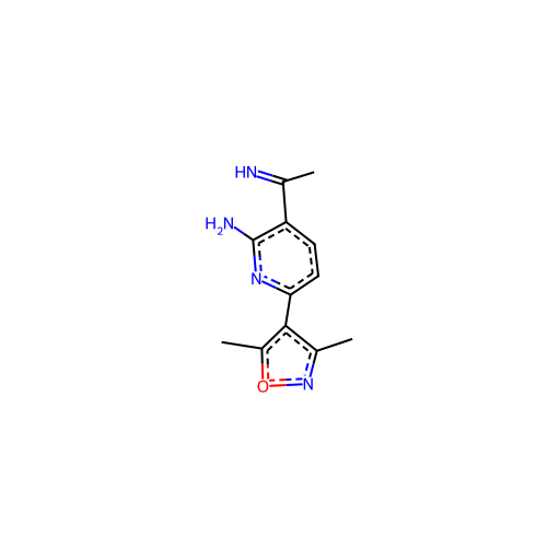 CC(=N)c1ccc(-c2c(C)noc2C)nc1N